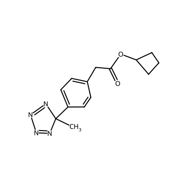 CC1(c2ccc(CC(=O)OC3CCC3)cc2)N=NN=N1